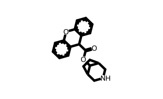 O=C(OC1C2CCC1CNC2)C1c2ccccc2Oc2ccccc21